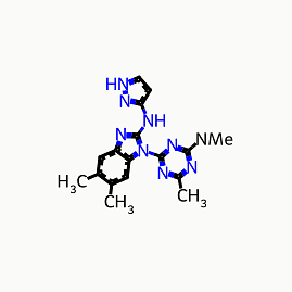 CNc1nc(C)nc(-n2c(Nc3cc[nH]n3)nc3cc(C)c(C)cc32)n1